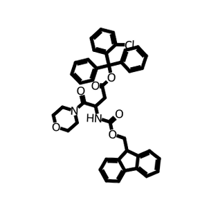 O=C(CC(NC(=O)OCC1c2ccccc2-c2ccccc21)C(=O)N1CCOCC1)OC(c1ccccc1)(c1ccccc1)c1ccccc1Cl